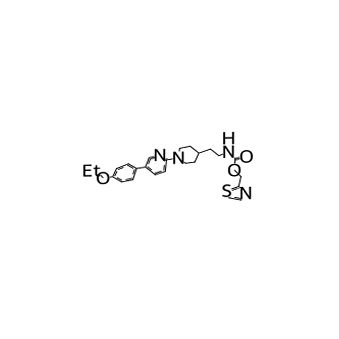 CCOc1ccc(-c2ccc(N3CCC(CCNC(=O)OCc4nccs4)CC3)nc2)cc1